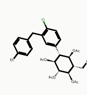 CCc1ccc(Cc2cc([C@H]3[C@H](OC(C)=O)[C@@H](OC(C)=O)[C@H](OC(C)=O)[C@@H](COC(C)=O)[C@@H]3OC(C)=O)ccc2Cl)cc1